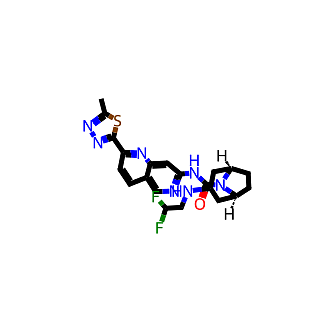 Cc1nnc(-c2ccc3cnc(NC(=O)N4[C@@H]5CC[C@H]4CC(NCC(F)F)C5)cc3n2)s1